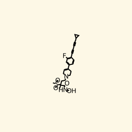 CC(CCN1CC=C(c2ccc(C#CC#CC3CC3)c(F)c2)CC1)(C(=O)NO)S(C)(=O)=O